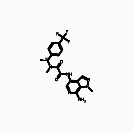 C[C@@H](c1ccc(C(F)(F)F)cc1)N(C)C(=O)C(=O)Nc1cnc(N)c2c1cnn2C